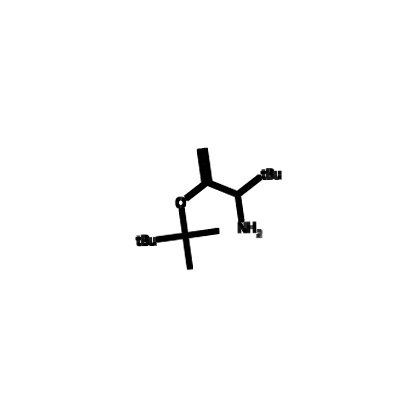 C=C(OC(C)(C)C(C)(C)C)C(N)C(C)(C)C